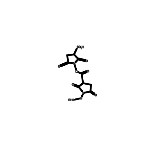 O=CON1C(=O)CC(C(=O)ON2C(=O)CC(S(=O)(=O)O)C2=O)C1=O